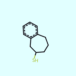 SC1CCCc2ccccc2C1